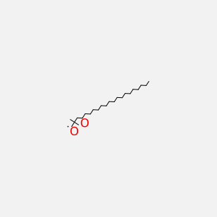 CCCCCCCCCCCCCCCCCC(=O)CC(C)(C)[C]=O